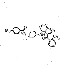 Cc1ccccc1C(=O)c1c[nH]c2ncnc(N[C@H]3CC[C@@H](NC(=O)c4ccc(C(C)(C)C)cc4)CC3)c12